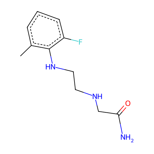 Cc1cccc(F)c1NCCNCC(N)=O